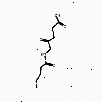 CCCCC(=O)NCC(=O)CCC(=O)O